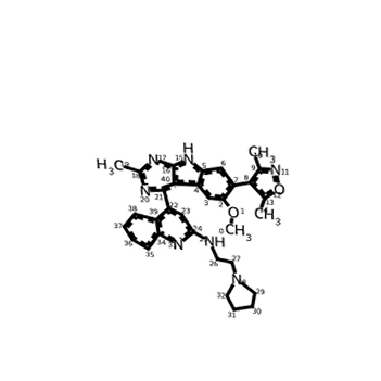 COc1cc2c(cc1-c1c(C)noc1C)[nH]c1nc(C)nc(-c3cc(NCCN4CCCC4)nc4ccccc34)c12